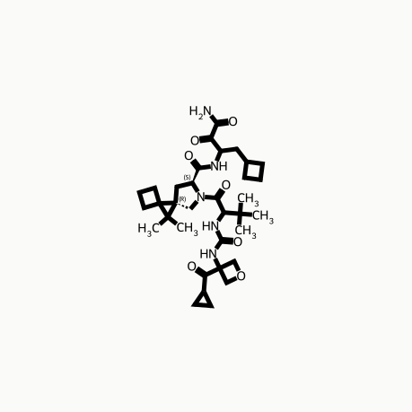 CC(C)(C)C(NC(=O)NC1(C(=O)C2CC2)COC1)C(=O)N1C[C@]2(C[C@H]1C(=O)NC(CC1CCC1)C(=O)C(N)=O)C(C)(C)C21CCC1